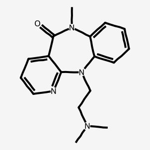 CN(C)CCN1c2ccccc2N(C)C(=O)c2cccnc21